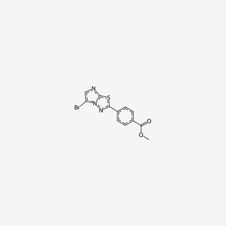 COC(=O)c1ccc(-c2nn3c(Br)cnc3s2)cc1